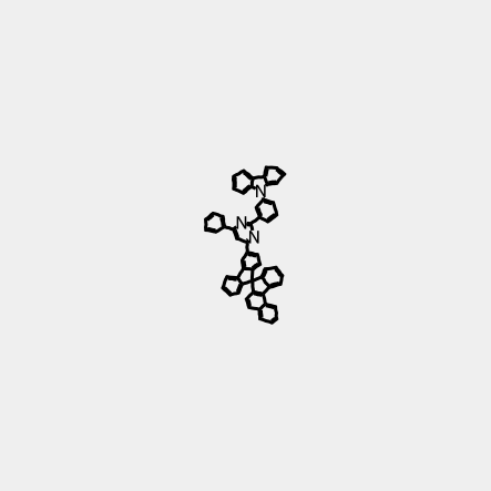 c1ccc(-c2cc(-c3ccc4c(c3)-c3ccccc3C43c4ccccc4-c4c3ccc3ccccc43)nc(-c3cccc(-n4c5ccccc5c5ccccc54)c3)n2)cc1